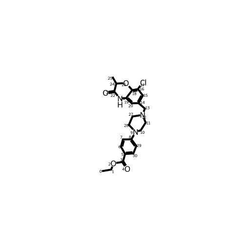 CCOC(=O)c1ccc(N2CCN(Cc3cc(Cl)c4c(c3)NC(=O)C(C)O4)CC2)cc1